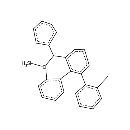 Cc1ccccc1-c1cccc(C(O[SiH3])c2ccccc2)c1-c1ccccc1C